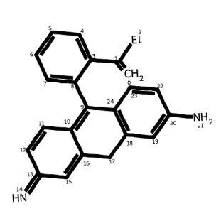 C=C(CC)c1ccccc1C1=C2C=CC(=N)C=C2Cc2cc(N)ccc21